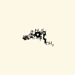 CCCCC1CCC(C)N1c1ccc(N2C[C@H](Cn3ccnn3)OC2=O)cc1F